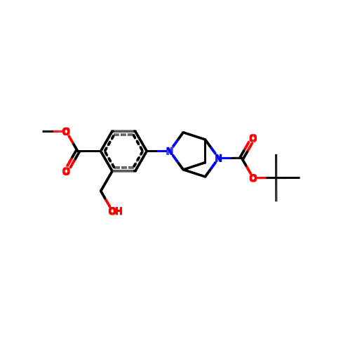 COC(=O)c1ccc(N2CC3CC2CN3C(=O)OC(C)(C)C)cc1CO